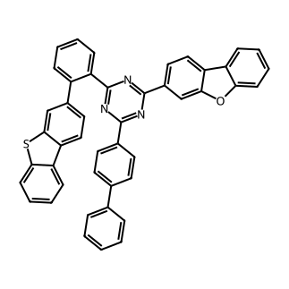 c1ccc(-c2ccc(-c3nc(-c4ccc5c(c4)oc4ccccc45)nc(-c4ccccc4-c4ccc5c(c4)sc4ccccc45)n3)cc2)cc1